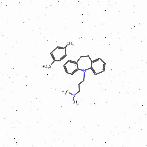 CN(C)CCCN1c2ccccc2CCc2ccccc21.Cc1ccc(S(=O)(=O)O)cc1